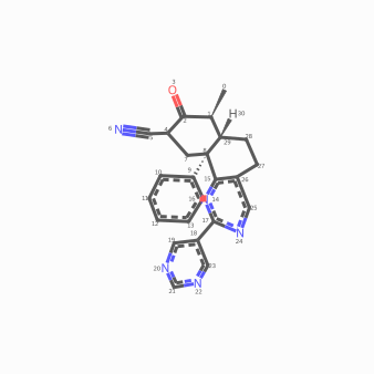 C[C@@H]1C(=O)C(C#N)C[C@]2(c3ccccc3)c3nc(-c4cncnc4)ncc3CC[C@@H]12